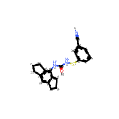 N#Cc1cccc(SNC(=O)Nc2c3c(cc4c2CCC4)CCC3)c1